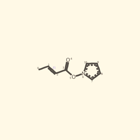 C/C=C/C(=O)On1cccc1